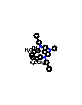 CC1(C)c2ccccc2-c2ccc(N(c3ccc(-c4ccccc4)cc3)c3ccc4c5c3ccc3c(N(c6ccc(-c7ccccc7)cc6)c6ccc7c(c6)C(C)(C)c6ccccc6-7)ccc(c35)n4-c3ccccc3)cc21